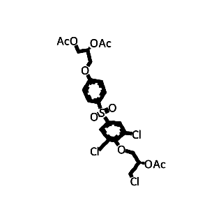 CC(=O)OC[C@H](COc1ccc(S(=O)(=O)c2cc(Cl)c(OC[C@H](CCl)OC(C)=O)c(Cl)c2)cc1)OC(C)=O